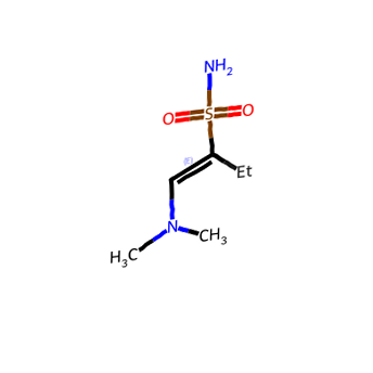 CC/C(=C\N(C)C)S(N)(=O)=O